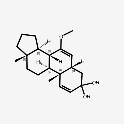 COC1=C[C@@H]2CC(O)(O)C=C[C@]2(C)[C@H]2CC[C@]3(C)CCC[C@H]3[C@H]12